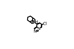 OC1C2CCCC1CN(c1cc(Cl)cn3cncc13)C2